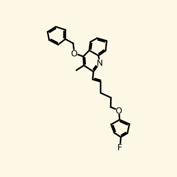 Cc1c(C=CCCCOc2ccc(F)cc2)nc2ccccc2c1OCc1ccccc1